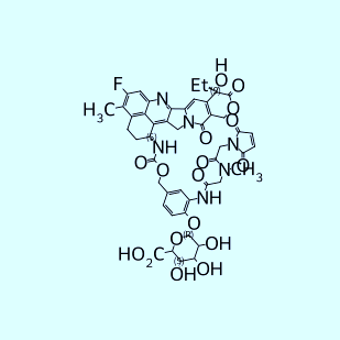 CC[C@@]1(O)C(=O)OCc2c1cc1n(c2=O)Cc2c-1nc1cc(F)c(C)c3c1c2[C@@H](NC(=O)OCc1ccc(O[C@H]2OC(C(=O)O)[C@@H](O)C(O)C2O)c(NC(=O)CN(C)C(=O)CN2C(=O)C=CC2=O)c1)CC3